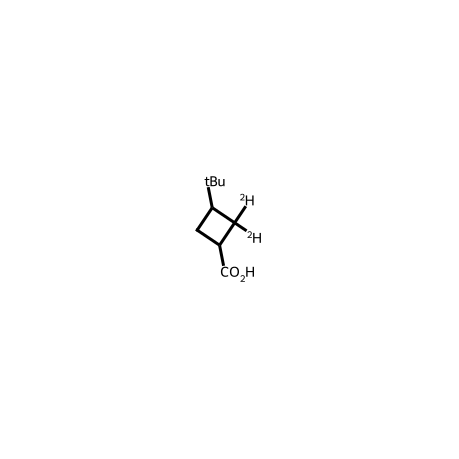 [2H]C1([2H])C(C(=O)O)CC1C(C)(C)C